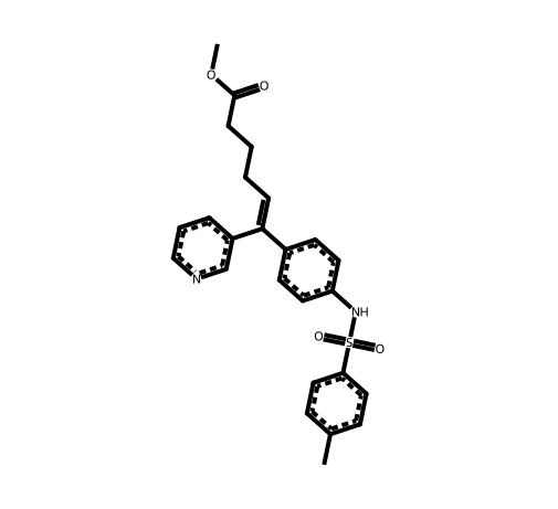 COC(=O)CCCC=C(c1ccc(NS(=O)(=O)c2ccc(C)cc2)cc1)c1cccnc1